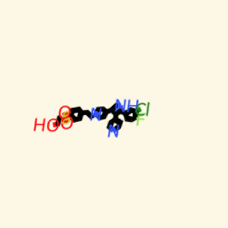 O=S(=O)(CCO)c1ccc(CCN2CC=C(c3c[nH]c(-c4ccc(F)c(Cl)c4)c3-c3ccncc3)CC2)cc1